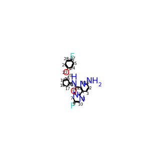 Nc1ccc(-c2ncc(F)cn2)c(C(=O)N[C@H]2CCC[C@@H]2COc2ccc(F)cc2)n1